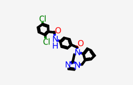 O=C(Nc1ccc(C(=O)N2Cc3nccn3Cc3ccccc32)cc1)c1cc(Cl)ccc1Cl